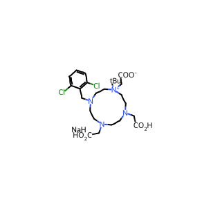 CC(C)(C)[N+]1(CC(=O)[O-])CCN(CC(=O)O)CCN(CC(=O)O)CCN(Cc2c(Cl)cccc2Cl)CC1.[NaH]